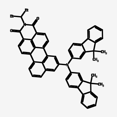 CCC(CC)N1C(=O)c2ccc3c4cccc5cc(N(c6ccc7c(c6)C(C)(C)c6ccccc6-7)c6ccc7c(c6)C(C)(C)c6ccccc6-7)cc(c6ccc(c2c36)C1=O)c54